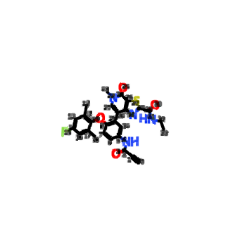 C#CC(=O)Nc1ccc(Oc2c(C)cc(F)cc2C)c(-c2cn(C)c(=O)c3sc(C(=O)NCC)nc23)c1